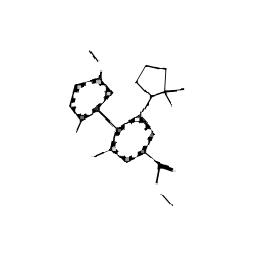 COC(=O)c1cc(F)c(-c2cc(OC)ccc2F)c(C2CCCC2(C)C)c1